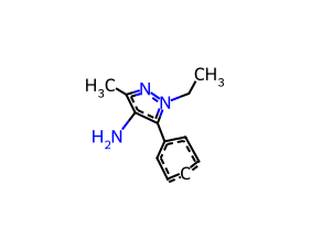 CCn1nc(C)c(N)c1-c1ccccc1